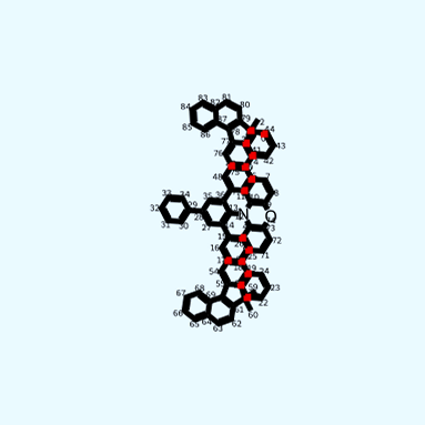 CC1(C)c2cc(-c3ccc4c(c3)N(c3c(-c5ccc(-c6ccccc6)cc5)cc(-c5ccccc5)cc3-c3ccc(-c5ccccc5)cc3)c3cc(-c5ccc6c(c5)C(C)(C)c5ccc7ccccc7c5-6)ccc3O4)ccc2-c2c1ccc1ccccc21